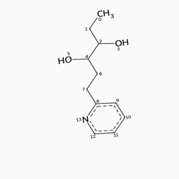 CCC(O)C(O)CCc1ccccn1